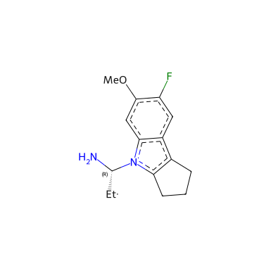 C[CH][C@H](N)n1c2c(c3cc(F)c(OC)cc31)CCC2